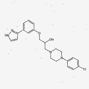 OC(COc1cccc(-c2cc[nH]n2)c1)CN1CCN(c2ccc(Cl)cc2)CC1